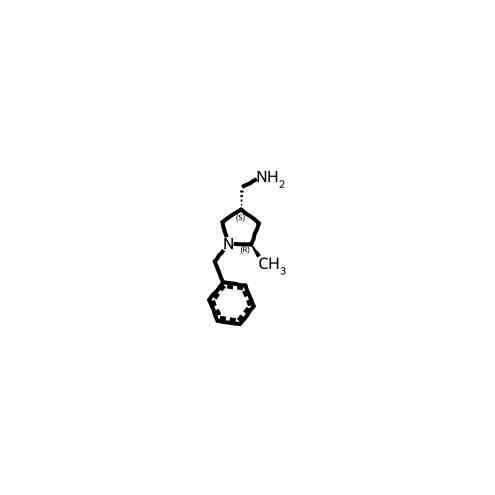 C[C@@H]1C[C@@H](CN)CN1Cc1ccccc1